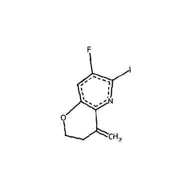 C=C1CCOc2cc(F)c(I)nc21